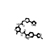 Cc1ncc(NC(=O)CN2CCC(c3ccno3)C2)cc1NC(=O)c1nnn2cc(-c3cnn(C)c3)ccc12